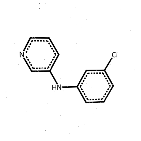 Clc1cccc(Nc2cccnc2)c1